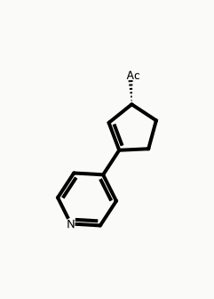 CC(=O)[C@H]1C=C(c2ccncc2)CC1